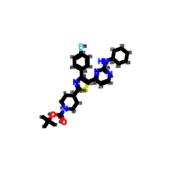 CC(C)(C)OC(=O)N1CCC(c2nc(-c3ccc(F)cc3)c(-c3ccnc(NC4CCCCC4)n3)s2)CC1